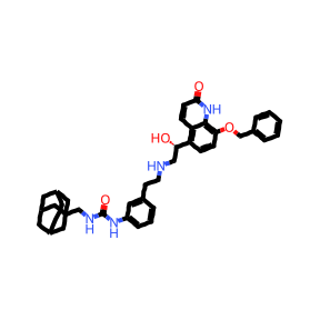 O=C(NCC12CC3CC(CC(C3)C1)C2)Nc1cccc(CCNC[C@H](O)c2ccc(OCc3ccccc3)c3[nH]c(=O)ccc23)c1